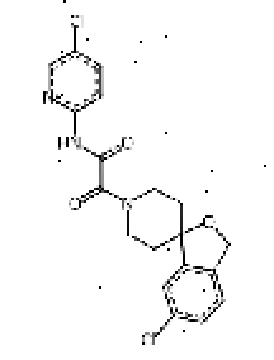 O=C(Nc1ccc(Cl)cn1)C(=O)N1CCC2(CC1)OCc1ccc(Cl)cc12